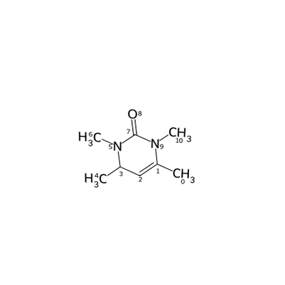 CC1=CC(C)N(C)C(=O)N1C